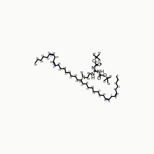 CCCCC/C=C\C/C=C\CCCCCCCCC(CCCCCCCC/C=C\C/C=C\CCCCC)N(C)CCN/C(=N/C(=O)OC(C)(C)C)NC(=O)OC(C)(C)C